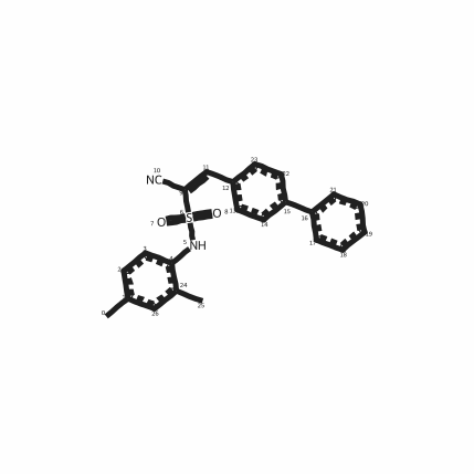 Cc1ccc(NS(=O)(=O)/C(C#N)=C\c2ccc(-c3ccccc3)cc2)c(C)c1